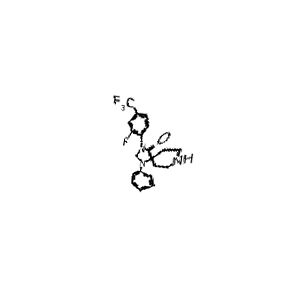 O=C1N(c2ccc(C(F)(F)F)cc2F)CN(c2ccccc2)C12CCNCC2